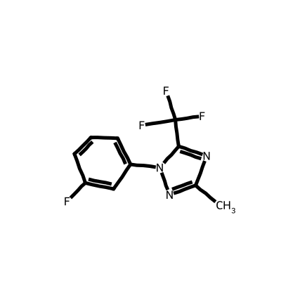 Cc1nc(C(F)(F)F)n(-c2cccc(F)c2)n1